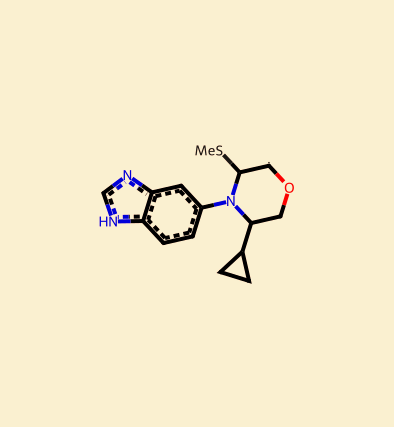 CSC1[CH]OCC(C2CC2)N1c1ccc2[nH]cnc2c1